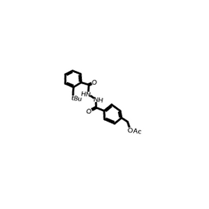 CC(=O)OCc1ccc(C(=O)NNC(=O)c2ccccc2C(C)(C)C)cc1